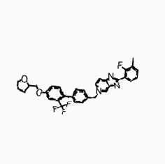 Cc1cccc(-c2nc3ccn(Cc4ccc(-c5ccc(OCC6CCCO6)cc5C(F)(F)F)cc4)cc-3n2)c1F